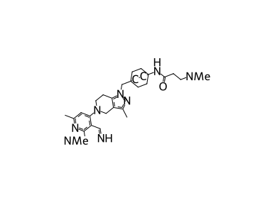 CNCCC(=O)NC12CCC(Cn3nc(C)c4c3CCN(c3cc(C)nc(NC)c3C=N)C4)(CC1)CC2